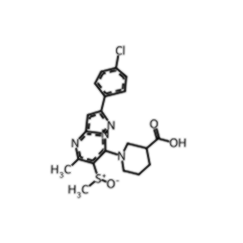 Cc1nc2cc(-c3ccc(Cl)cc3)nn2c(N2CCCC(C(=O)O)C2)c1[S+](C)[O-]